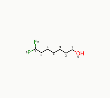 OCCCCCCC(F)F